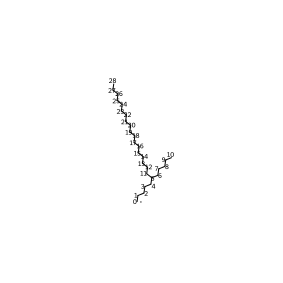 [CH2]CCCCC(CCCCC)CCCCCCCCCCCCCCCCCC